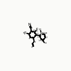 C=CCc1cc(F)c(C#N)c(F)c1-c1cc(C)cc[n+]1C